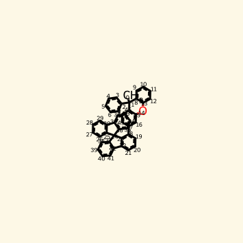 CC1(c2ccccc2)c2ccccc2Oc2cc(-c3cccc4c3C3(c5ccccc5-c5ccccc53)c3ccccc3-4)ccc21